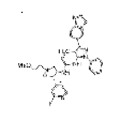 COCCN1C[C@@H](NC(=O)Nc2c(C)c(-c3ccc4nccn4c3)nn2-c2ccccc2)[C@H](c2ccnc(F)c2)O1